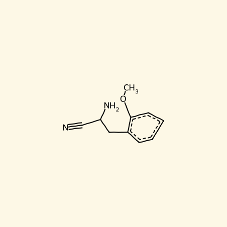 COc1ccccc1CC(N)C#N